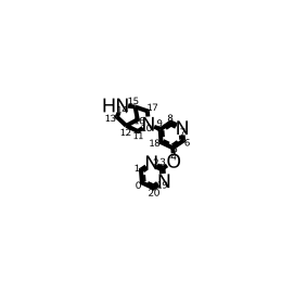 c1cnc(Oc2cncc(N3CC4CNC(C4)C3)c2)nc1